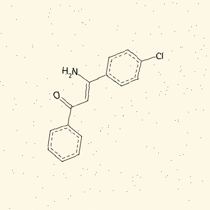 N/C(=C\C(=O)c1ccccc1)c1ccc(Cl)cc1